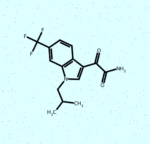 CC(C)Cn1cc(C(=O)C(N)=O)c2ccc(C(F)(F)F)cc21